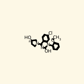 COc1ccccc1N1c2cc(Cl)ccc2C(N2CC[C@@H](O)C2)=NC1O